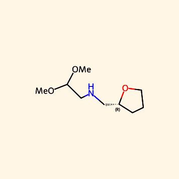 COC(CNC[C@H]1CCCO1)OC